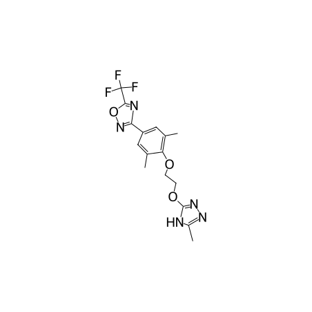 Cc1nnc(OCCOc2c(C)cc(-c3noc(C(F)(F)F)n3)cc2C)[nH]1